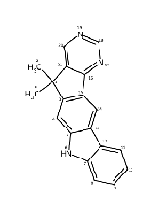 CC1(C)c2cc3[nH]c4ccccc4c3cc2-c2ncncc21